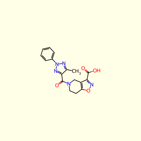 Cc1nn(-c2ccccc2)nc1C(=O)N1CCc2onc(C(=O)O)c2C1